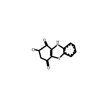 O=C1CC(Cl)C(=O)C2=C1Sc1ccccc1N2